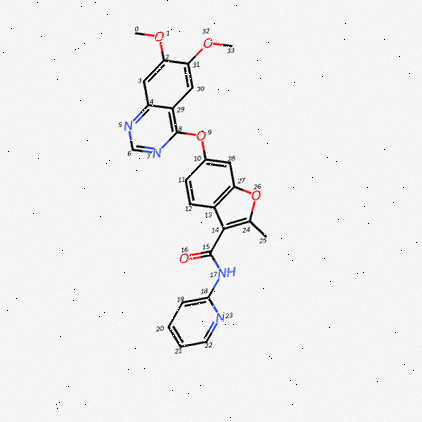 COc1cc2ncnc(Oc3ccc4c(C(=O)Nc5ccccn5)c(C)oc4c3)c2cc1OC